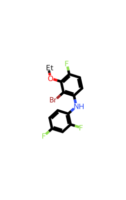 CCOc1c(F)ccc(Nc2ccc(F)cc2F)c1Br